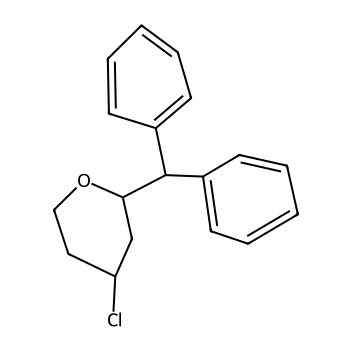 ClC1CCOC(C(c2ccccc2)c2ccccc2)C1